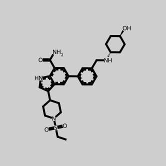 CCS(=O)(=O)N1CCC(c2c[nH]c3c(C(N)=O)cc(-c4cccc(CN[C@H]5CC[C@H](O)CC5)c4)cc23)CC1